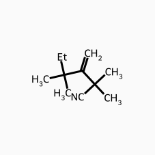 C=C(C(C)(C)C#N)C(C)(C)CC